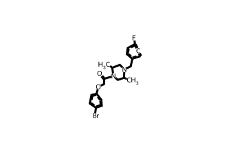 CC1CN(C(=O)COc2ccc(Br)cc2)C(C)CN1Cc1ccc(F)cc1